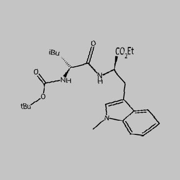 CCOC(=O)[C@@H](Cc1cn(C)c2ccccc12)NC(=O)[C@@H](NC(=O)OC(C)(C)C)[C@@H](C)CC